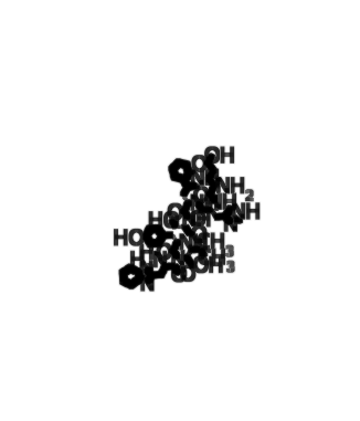 CC(C)C[C@@H](C(=O)O)N(C(=O)[C@H](N)Cc1nc2ccccc2[nH]1)C(=O)[C@H](Cc1ccc(O)cc1)NC(=O)[C@H](CO)NC(=O)[C@H](Cc1c[nH]c2ccccc12)NC(=O)[C@H](Cc1c[nH]cn1)NC(=O)[C@@H](N)CCC(=O)O